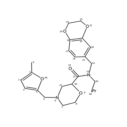 Cc1ccc(CN2CCOC(C(=O)N(Cc3ccc4c(c3)OCCO4)CC(C)C)C2)o1